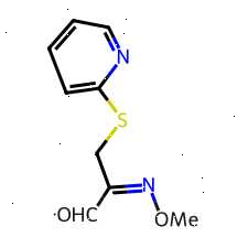 CON=C([C]=O)CSc1ccccn1